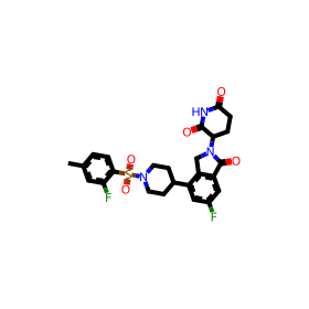 Cc1ccc(S(=O)(=O)N2CCC(c3cc(F)cc4c3CN(C3CCC(=O)NC3=O)C4=O)CC2)c(F)c1